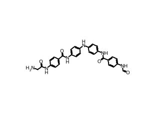 NCC(=O)Nc1ccc(C(=O)Nc2ccc(Nc3ccc(NC(=O)c4ccc(NC=O)cc4)cc3)cc2)cc1